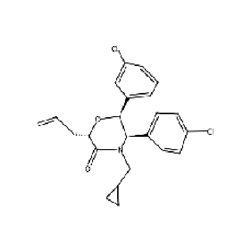 C=CC[C@@H]1O[C@@H](c2cccc(Cl)c2)[C@@H](c2ccc(Cl)cc2)N(CC2CC2)C1=O